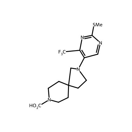 CSc1ncc(N2CCC3(CCN(C(=O)O)CC3)C2)c(C(F)(F)F)n1